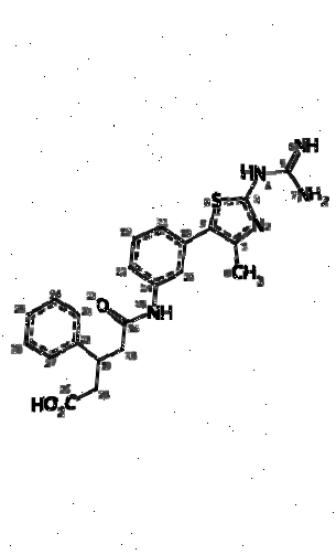 Cc1nc(NC(=N)N)sc1-c1cccc(NC(=O)CC(CC(=O)O)c2ccccc2)c1